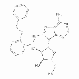 Nc1ncnc2c1nc(NCc1ccccc1OCc1ccccc1)n2[C@@H]1O[C@H](CO)[C@@H](O)[C@H]1O